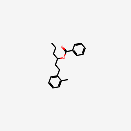 CCCC(CCc1ccccc1C)OC(=O)c1ccccc1